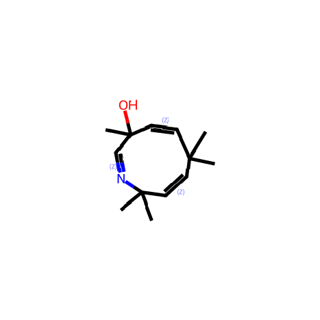 CC1(C)/C=C\C(C)(O)/C=N\C(C)(C)/C=C\1